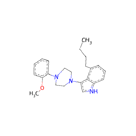 CCCCc1cccc2[nH]cc(N3CCN(c4ccccc4OC)CC3)c12